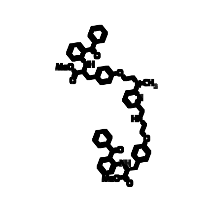 COC(=O)C(Cc1ccc(OCCN(C)c2cccc(CNCCOc3ccc(C[C@H](Nc4ccccc4C(=O)c4ccccc4)C(=O)OC)cc3)n2)cc1)Nc1ccccc1C(=O)c1ccccc1